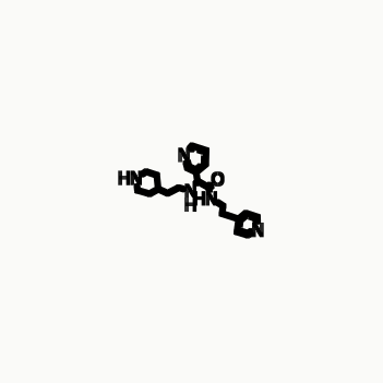 O=C(NCCc1ccncc1)C(NCCC1CCNCC1)c1cccnc1